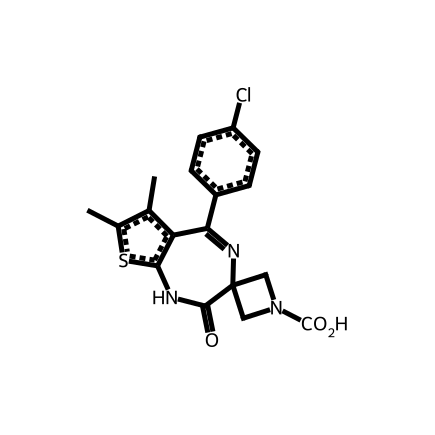 Cc1sc2c(c1C)C(c1ccc(Cl)cc1)=NC1(CN(C(=O)O)C1)C(=O)N2